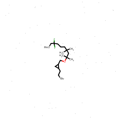 COCC(F)(F)CCCC(C)(C)CC(C)(C)OCC1CC1CCC(C)(C)C